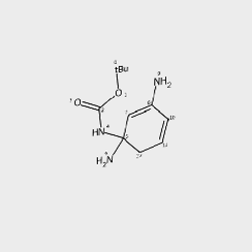 CC(C)(C)OC(=O)NC1(N)C=C(N)C=CC1